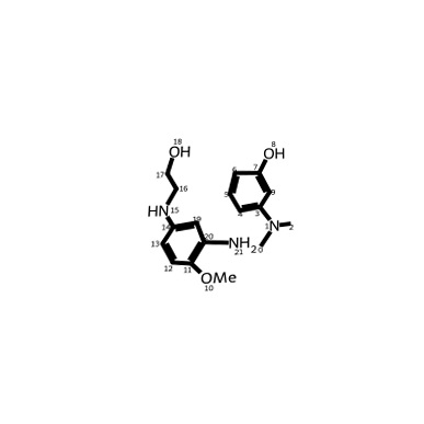 CN(C)c1cccc(O)c1.COc1ccc(NCCO)cc1N